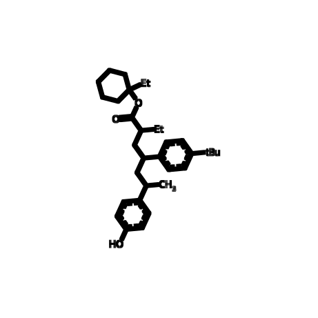 CCC(CC(CC(C)c1ccc(O)cc1)c1ccc(C(C)(C)C)cc1)C(=O)OC1(CC)CCCCC1